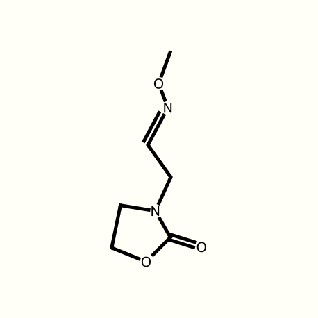 CO/N=C/CN1CCOC1=O